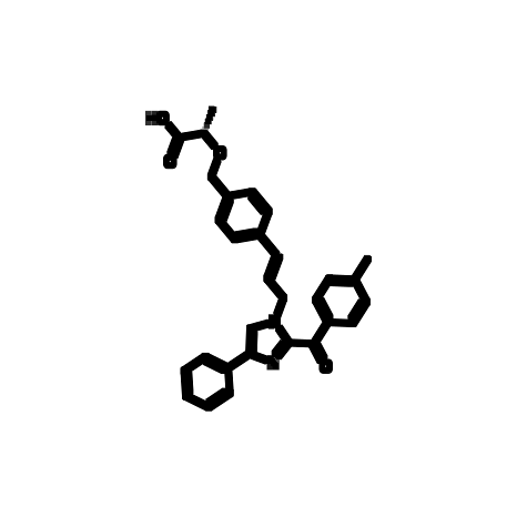 Cc1ccc(C(=O)c2nc(-c3ccccc3)cn2C/C=C/c2ccc(CO[C@@H](C)C(=O)O)cc2)cc1